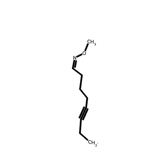 [CH2]CC#CCCC/C=N\OC